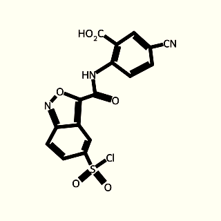 N#Cc1ccc(NC(=O)c2onc3ccc(S(=O)(=O)Cl)cc23)c(C(=O)O)c1